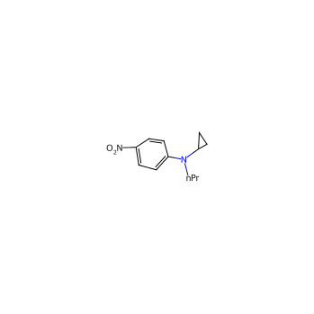 CCCN(c1ccc([N+](=O)[O-])cc1)C1CC1